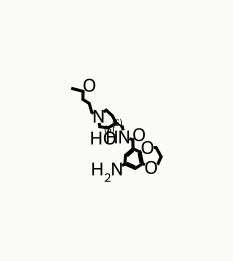 CC(=O)CCCN1CC[C@@H](CNC(=O)c2cc(N)cc3c2OCCCO3)[C@H](O)C1